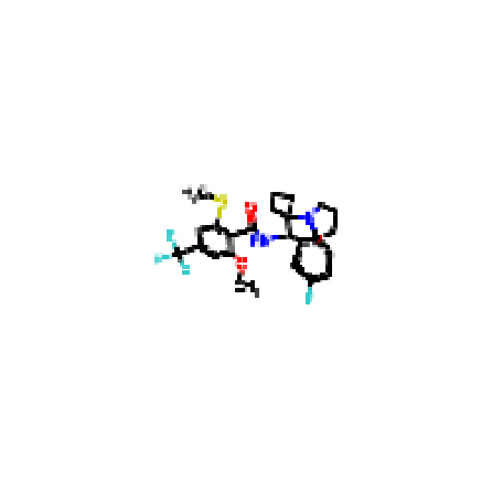 COc1cc(C(F)(F)F)cc(SC)c1C(=O)NC(c1cccc(F)c1)C1(N2CCCC2)CCC1